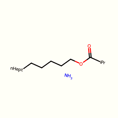 CCCCCCCCCCCCOC(=O)C(C)C.N